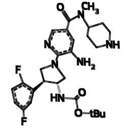 CN(C(=O)c1cnc(N2C[C@H](NC(=O)OC(C)(C)C)[C@@H](c3cc(F)ccc3F)C2)c(N)c1)C1CCNCC1